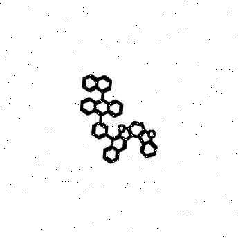 c1cc(-c2c3ccccc3c(-c3cccc4ccccc34)c3ccccc23)cc(-c2c3ccccc3cc3c2oc2ccc4oc5ccccc5c4c23)c1